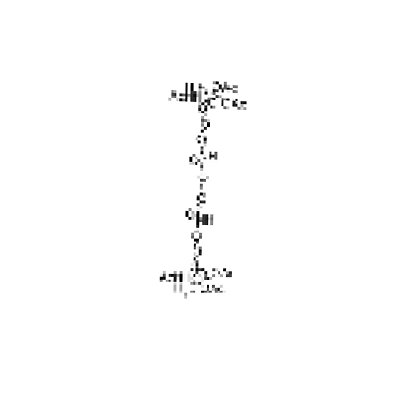 CC(=O)N[C@@H]1C(OCCOCCOCCNC(=O)CCOCCCOCCC(=O)NCCOCCOCCOC2OC(COC(C)=O)[C@H](OC(C)=O)[C@H](C)[C@@H]2NC(C)=O)OC(COC(C)=O)[C@H](OC(C)=O)[C@@H]1C